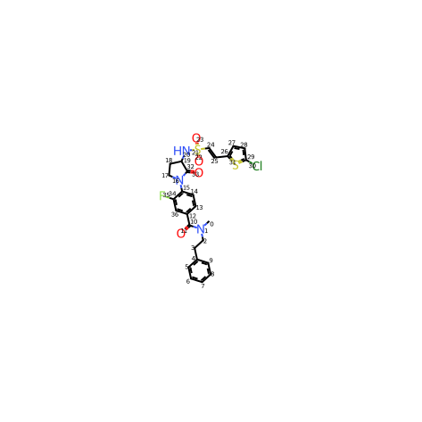 CN(CCc1ccccc1)C(=O)c1ccc(N2CCC(NS(=O)(=O)C=Cc3ccc(Cl)s3)C2=O)c(F)c1